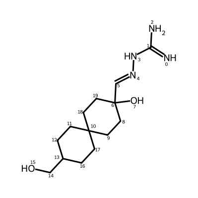 N=C(N)N/N=C/C1(O)CCC2(CCC(CO)CC2)CC1